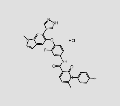 Cc1ccc(C(=O)Nc2ccc(Oc3cc4cnn(C)c4cc3-c3cn[nH]c3)c(F)c2)c(=O)n1-c1ccc(F)cc1.Cl